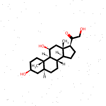 C[C@]12CC[C@H](O)C[C@@H]1CC[C@@H]1[C@@H]2[C@@H](O)C[C@]2(C)[C@@H](C(=O)CO)CC[C@@H]12